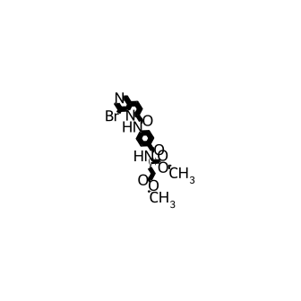 CCOC(=O)CC[C@H](NC(=O)c1ccc(NC(=O)c2ccc3cncc(Br)c3n2)cc1)C(=O)OCC